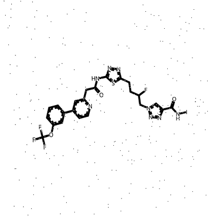 O=C(Cc1cc(-c2cccc(OC(F)(F)F)c2)ccn1)Nc1nnc(CCC(F)Cn2cc(C(=O)NI)nn2)s1